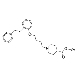 CCCOC(=O)C1CCN(CCCCOc2ccccc2CCc2ccccc2)CC1